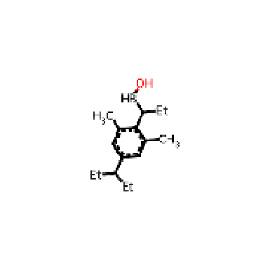 CCC(BO)c1c(C)cc(C(CC)CC)cc1C